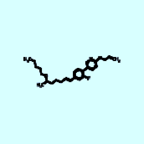 C=CCOc1ccc(-c2ccc(C=CCCCC(C)OCCCCC)cc2F)cn1